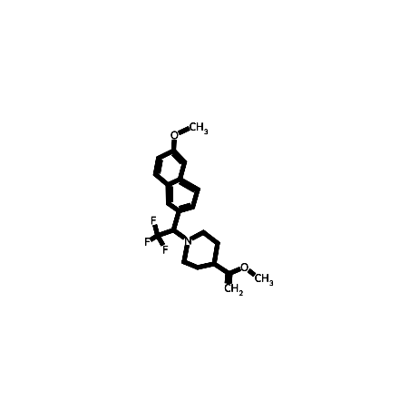 C=C(OC)C1CCN(C(c2ccc3cc(OC)ccc3c2)C(F)(F)F)CC1